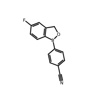 N#Cc1ccc(B2OCc3cc(F)ccc32)cc1